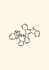 N=C1C=CC=C/C1=C(/NN1c2ccccc2C2=c3c(sc4ccccc34)=C3C=CC=CC3C21)c1ccccc1